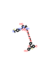 COc1ccc2c(C(=O)c3ccc(OCCOCCOCCOCC(=O)N[C@H](C(=O)N4CC(O)CC4C(=O)NCc4ccc(-c5scnc5C)cc4)C(C)(C)C)cc3)c(-c3ccc(O)cc3)sc2c1